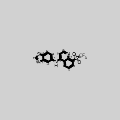 O=S(=O)(c1cccc2c(Nc3ccc4scnc4c3)ccnc12)C(F)(F)F